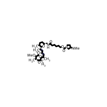 CNC1CCN(C(=O)OCCCCCC(=O)NC[C@H]2CC[C@H](C)[C@@H](/C(C)=C/C=C/C(C)C[C@@]3(C)O[C@@H]3C(C)C(OC)C(C)O)O2)C1